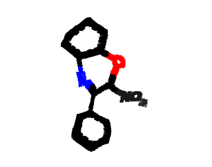 O=[N+]([O-])C1Oc2ccccc2N=C1c1ccccc1